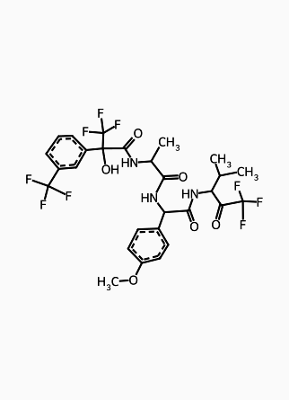 COc1ccc(C(NC(=O)C(C)NC(=O)C(O)(c2cccc(C(F)(F)F)c2)C(F)(F)F)C(=O)NC(C(=O)C(F)(F)F)C(C)C)cc1